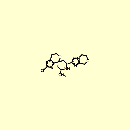 C[C@H]1C[C@@]2(C[C@@H](c3cn4c(n3)COCC4)N1)OCCc1cc(Cl)sc12